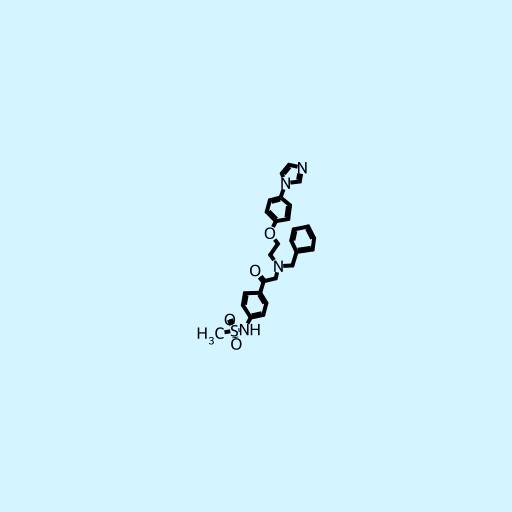 CS(=O)(=O)Nc1ccc(C(=O)CN(CCOc2ccc(-n3ccnc3)cc2)Cc2ccccc2)cc1